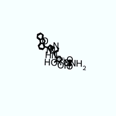 NS(=O)(=O)OC[C@H]1C[C@@H](Nc2ccnc3cc(-c4cccc5c4oc4ccccc45)nn23)C(O)[C@@H]1O